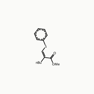 CCCC/C(=C/Sc1ccccc1)C(=O)OC